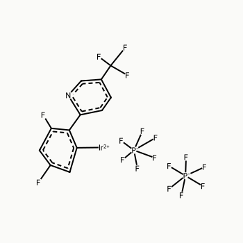 F[P-](F)(F)(F)(F)F.F[P-](F)(F)(F)(F)F.Fc1cc(F)c(-c2ccc(C(F)(F)F)cn2)[c]([Ir+2])c1